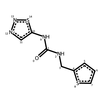 O=C(NCc1cccs1)Nc1cnns1